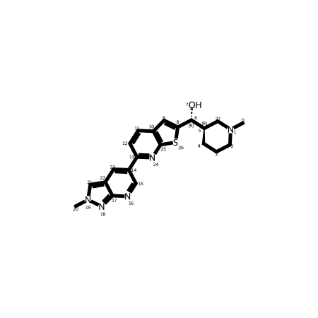 CN1CCC[C@@H]([C@@H](O)c2cc3ccc(-c4cnc5nn(C)cc5c4)nc3s2)C1